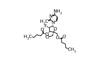 C=C1N=C(N)C=CN1[C@@H]1O[C@](CCl)(COC(=O)CCCC)[C@@H](OC(=O)CCCC)[C@H]1F